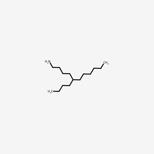 CCCCCCC(CCCC)CCCCN